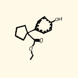 CCOC(=O)C1(c2ccc(O)cc2)CCCC1